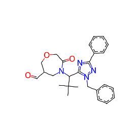 CC(C)(C)C(c1nc(-c2ccccc2)nn1Cc1ccccc1)N1CC(C=O)COCC1=O